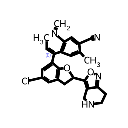 C=Nc1cc(C#N)c(C)cc1/C(=C\C)c1cc(Cl)cc2c1OC(c1onc3c1CNCC3)C2